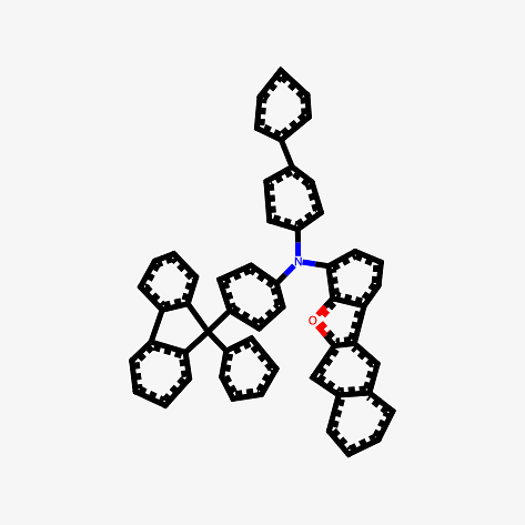 c1ccc(-c2ccc(N(c3ccc(C4(c5ccccc5)c5ccccc5-c5ccccc54)cc3)c3cccc4c3oc3cc5ccccc5cc34)cc2)cc1